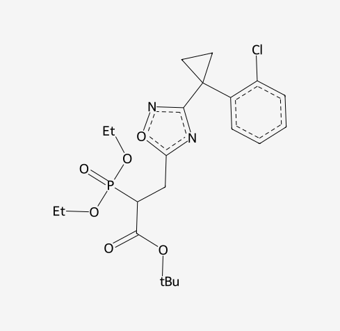 CCOP(=O)(OCC)C(Cc1nc(C2(c3ccccc3Cl)CC2)no1)C(=O)OC(C)(C)C